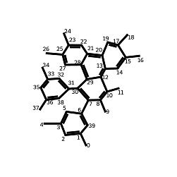 Cc1cc(C)cc(-c2c(C)c(C)c3c4cc(C)c(C)cc4c4cc(C)c(C)cc4c3c2-c2cc(C)cc(C)c2)c1